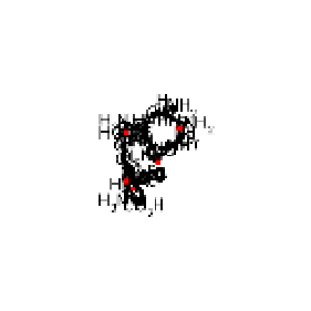 CCC1NC(=O)[C@H](CCN)NC(=O)[C@H](CCN)NC(=O)[C@H](CC(C)C)NC(=O)[C@@H](Cc2ccccc2)NC(=O)[C@H](CCN)NC(=O)[C@@H](NC(=O)[C@H](CCN)NC(=O)[C@@H](NC(=O)CCOC(=O)CCN(CCNC(=O)CC[C@H](N)C(=O)O)C(=O)n2nc(/C=C/c3ccccn3)c3ccc(Sc4ccccc4C(C)=O)cc32)[C@@H](C)O)CCNC1=O